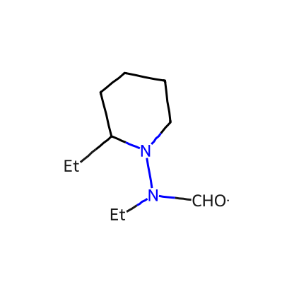 CCC1CCCCN1N([C]=O)CC